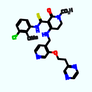 COc1c(Cl)cccc1NC(=S)C1=C(NCc2ccncc2OCCc2cnccn2)CCN(C(=O)O)C1=O